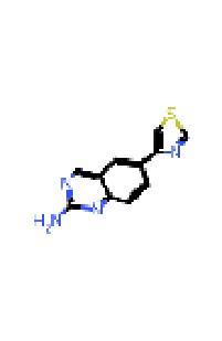 Nc1ncc2cc(-c3cscn3)ccc2n1